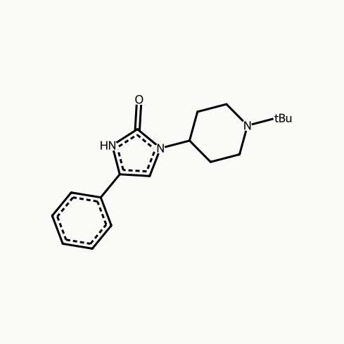 CC(C)(C)N1CCC(n2cc(-c3ccccc3)[nH]c2=O)CC1